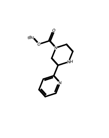 CC(C)(C)OC(=O)N1CCNC(c2ccccn2)C1